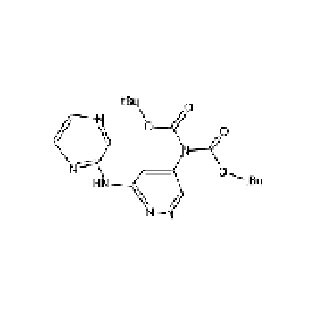 CC(C)(C)OC(=O)N(C(=O)OC(C)(C)C)c1cnnc(Nc2cnccn2)c1